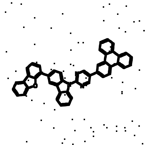 c1ccc2c(c1)oc1c(-c3ccc4c(c3)c3ccccc3n4-c3ncc(-c4ccc5c6ccccc6c6ccccc6c5c4)cn3)cccc12